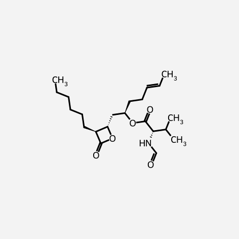 C/C=C/CC[C@H](C[C@@H]1OC(=O)[C@H]1CCCCCC)OC(=O)[C@@H](NC=O)C(C)C